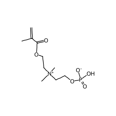 C=C(C)C(=O)OCC[N+](C)(C)CCOP(=O)([O-])O